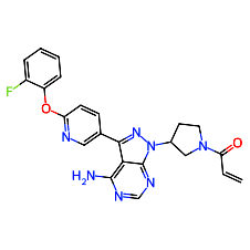 C=CC(=O)N1CCC(n2nc(-c3ccc(Oc4ccccc4F)nc3)c3c(N)ncnc32)C1